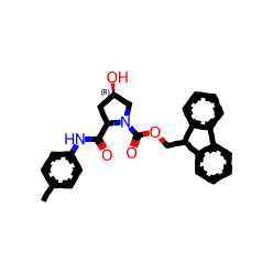 Cc1ccc(NC(=O)C2C[C@@H](O)CN2C(=O)OCC2c3ccccc3-c3ccccc32)cc1